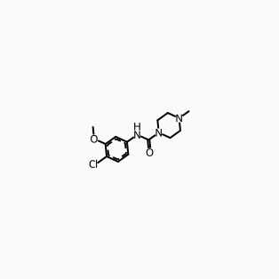 COc1cc(NC(=O)N2CCN(C)CC2)ccc1Cl